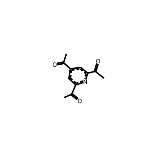 CC(=O)c1cc(C(C)=O)nc(C(C)=O)c1